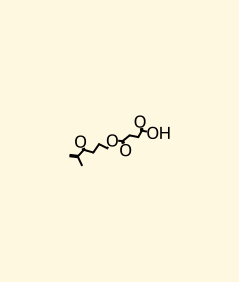 C=C(C)C(=O)CCCOC(=O)CCC(=O)O